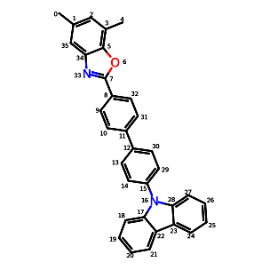 Cc1cc(C)c2oc(-c3ccc(-c4ccc(-n5c6ccccc6c6ccccc65)cc4)cc3)nc2c1